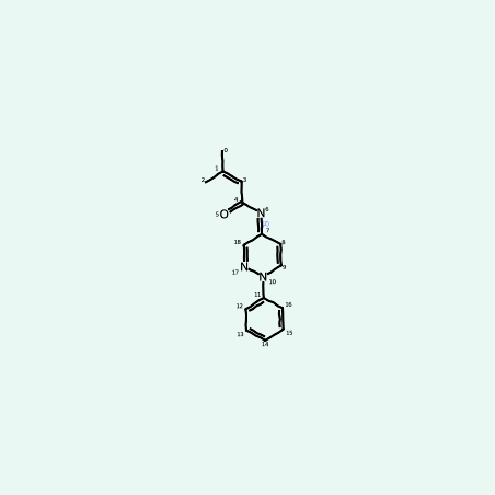 CC(C)=CC(=O)/N=c1/ccn(-c2ccccc2)nc1